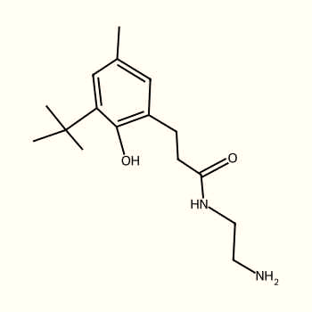 Cc1cc(CCC(=O)NCCN)c(O)c(C(C)(C)C)c1